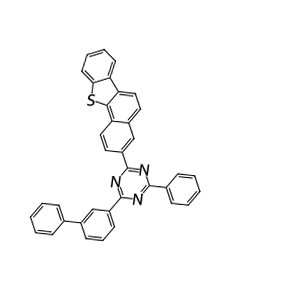 c1ccc(-c2cccc(-c3nc(-c4ccccc4)nc(-c4ccc5c(ccc6c7ccccc7sc56)c4)n3)c2)cc1